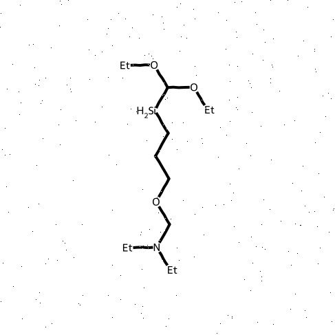 CCOC(OCC)[SiH2]CCCOCN(CC)CC